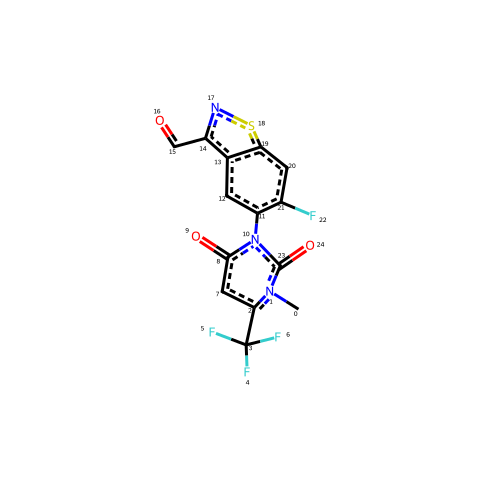 Cn1c(C(F)(F)F)cc(=O)n(-c2cc3c(C=O)nsc3cc2F)c1=O